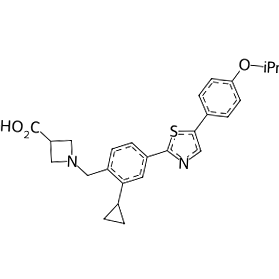 CC(C)Oc1ccc(-c2cnc(-c3ccc(CN4CC(C(=O)O)C4)c(C4CC4)c3)s2)cc1